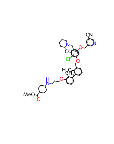 COC(=O)[C@H]1CC[C@H](NCCCOc2cccc(-c3cccc(COc4cc(OCc5cncc(C#N)c5)c(CN5CCCC[C@H]5C(=O)O)cc4Cl)c3C)c2C)CC1